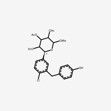 COC1O[C@@H](c2ccc(Cl)c(Cc3ccc(O)cc3)c2)C(OC(C)=O)C(OC(C)=O)C1OC(C)=O